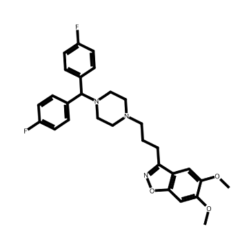 COc1cc2onc(CCCN3CCN(C(c4ccc(F)cc4)c4ccc(F)cc4)CC3)c2cc1OC